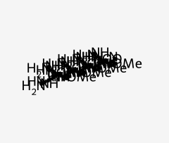 COc1ccc(NC(=O)[C@@H](CCCNC(=N)N)NC(=O)c2cc(NC(=O)[C@@H](CCCNC(=N)N)NC(=O)c3cc(NC(=O)[C@@H](CCCNC(=N)N)NC(=O)c4cc(NC(=O)[C@@H](CCCNC(=N)N)NC(=O)CCCCNC(=N)N)ccc4OC)ccc3OC)ccc2OC)cc1C(N)=O